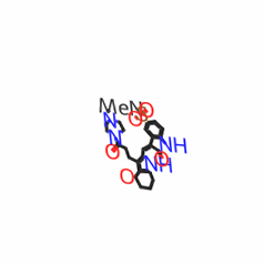 CNS(=O)(=O)c1ccc2c(c1)/C(=C/c1[nH]c3c(c1CCC(=O)N1CCN(C)CC1)C(=O)CCC3)C(=O)N2